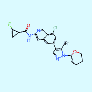 CC(C)c1c(-c2cc(Cl)c3cnc(NC(=O)C4CC4F)cc3c2)cnn1C1CCCCO1